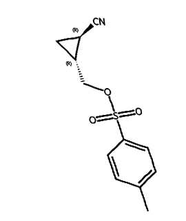 Cc1ccc(S(=O)(=O)OC[C@@H]2C[C@H]2C#N)cc1